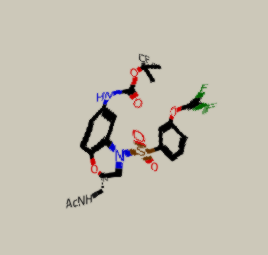 CC(=O)NC[C@H]1CN(S(=O)(=O)c2cccc(OC(F)F)c2)c2cc(NC(=O)OC(C)(C)C(F)(F)F)ccc2O1